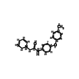 Cc1ccc(Oc2ccc(NC(=O)CN3C=CC=NC3)cc2)cc1